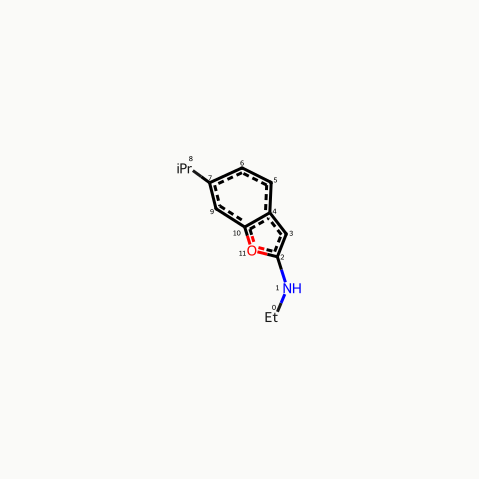 CCNc1cc2ccc(C(C)C)cc2o1